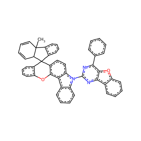 CC12C=CC=CC1C1(c3ccccc3Oc3c1ccc1c3c3ccccc3n1-c1nc(-c3ccccc3)c3oc4ccccc4c3n1)c1ccccc12